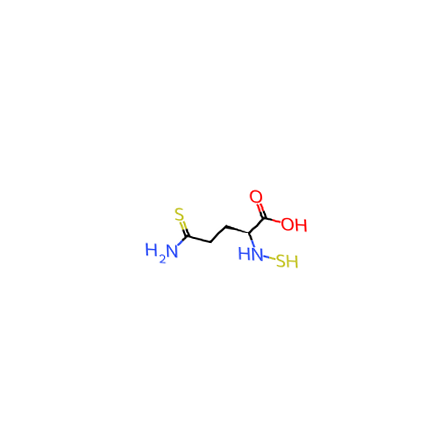 NC(=S)CC[C@H](NS)C(=O)O